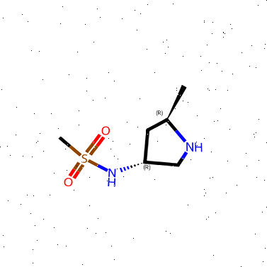 C[C@@H]1C[C@@H](NS(C)(=O)=O)CN1